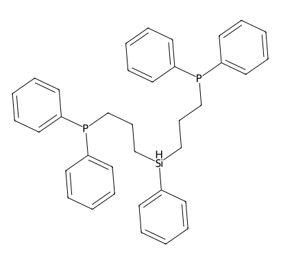 c1ccc([SiH](CCCP(c2ccccc2)c2ccccc2)CCCP(c2ccccc2)c2ccccc2)cc1